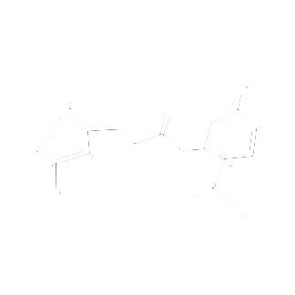 O=C(/C=C/c1cccc(O)c1)Nc1cc(O)ccc1C(=O)O